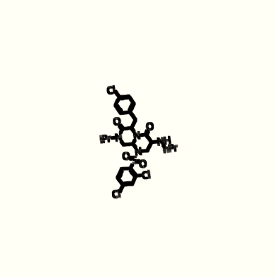 [CH2]CCNC1CN(S(=O)(=O)c2ccc(Cl)cc2Cl)C2CN(C(C)C)C(=O)C(Cc3ccc(Cl)cc3)N2C1=O